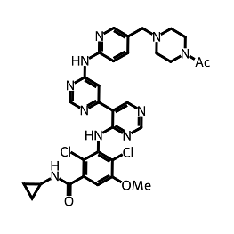 COc1cc(C(=O)NC2CC2)c(Cl)c(Nc2ncncc2-c2cc(Nc3ccc(CN4CCN(C(C)=O)CC4)cn3)ncn2)c1Cl